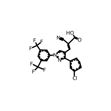 N#CC(=Cc1cn(-c2cc(C(F)(F)F)cc(C(F)(F)F)c2)nc1-c1cccc(Cl)c1)C(=O)O